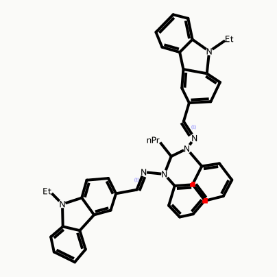 CCCC(N(/N=C/c1ccc2c(c1)c1ccccc1n2CC)c1ccccc1)N(/N=C/c1ccc2c(c1)c1ccccc1n2CC)c1ccccc1